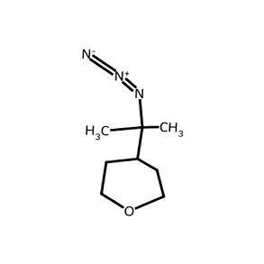 CC(C)(N=[N+]=[N-])C1CCOCC1